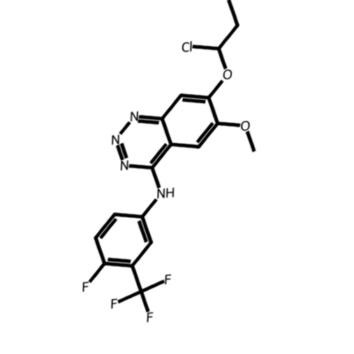 CCC(Cl)Oc1cc2nnnc(Nc3ccc(F)c(C(F)(F)F)c3)c2cc1OC